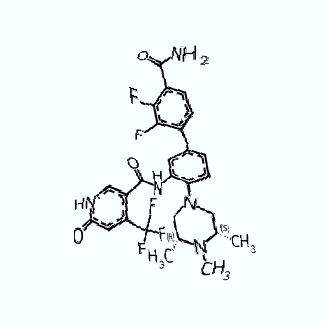 C[C@@H]1CN(c2ccc(-c3ccc(C(N)=O)c(F)c3F)cc2NC(=O)c2c[nH]c(=O)cc2C(F)(F)F)C[C@H](C)N1C